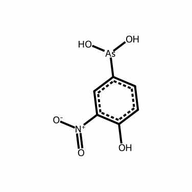 O=[N+]([O-])c1cc([As](O)O)ccc1O